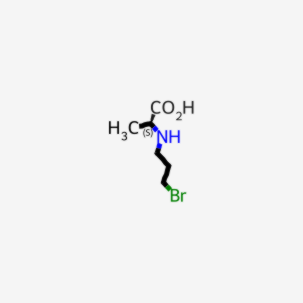 C[C@H](NCCCBr)C(=O)O